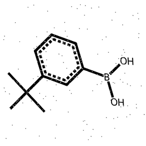 CC(C)(C)c1cccc(B(O)O)c1